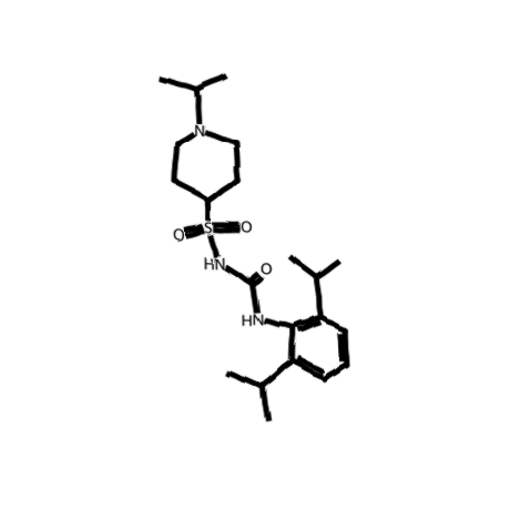 CC(C)c1cccc(C(C)C)c1NC(=O)NS(=O)(=O)C1CCN(C(C)C)CC1